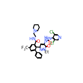 CCn1nc(-c2c(C(=O)NCCN3CCCCC3)cc(C(F)(F)F)cc2-c2ccccc2)cc(NC(=O)Nc2c(Cl)cncc2Cl)c1=O